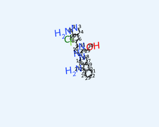 Nc1nccc(C=C(F)c2cnc(N3CCC4(CC3)Cc3ccccc3C4N)c(CO)n2)c1Cl